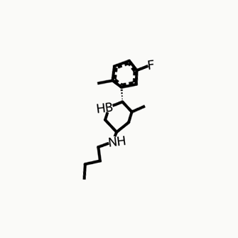 CCCCNC1CB[C@H](c2cc(F)ccc2C)C(C)C1